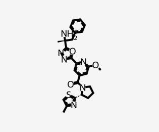 COc1cc(C(=O)N2CCC[C@@H]2c2nc(C)cs2)cc(-c2nnc([C@](C)(N)Cc3ccccc3)o2)n1